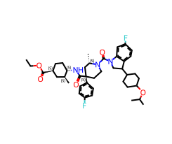 CCOC(=O)[C@H]1CC[C@H](NC(=O)[C@@]2(c3ccc(F)cc3)CCN(C(=O)N3CC(C4CCC(OC(C)C)CC4)c4ccc(F)cc43)[C@@H](C)C2)[C@@H](C)C1